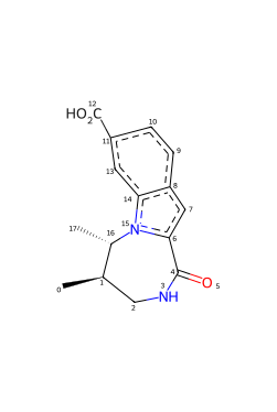 C[C@@H]1CNC(=O)c2cc3ccc(C(=O)O)cc3n2[C@H]1C